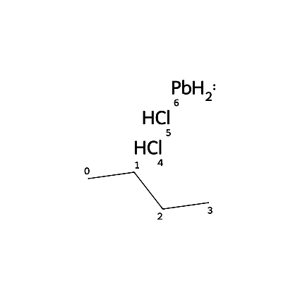 CCCC.Cl.Cl.[PbH2]